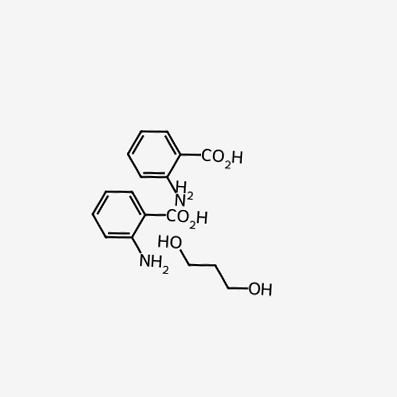 Nc1ccccc1C(=O)O.Nc1ccccc1C(=O)O.OCCCO